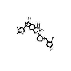 Cc1ncc(-c2n[nH]c3cc4c(cc23)CN([C@@H]2CCCN(Cc3ccc(F)cc3F)C2)C(=O)N4)cn1